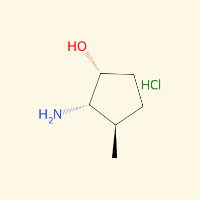 C[C@@H]1CC[C@@H](O)[C@H]1N.Cl